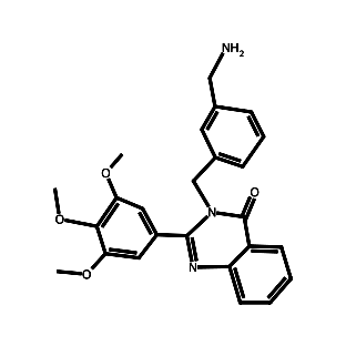 COc1cc(-c2nc3ccccc3c(=O)n2Cc2cccc(CN)c2)cc(OC)c1OC